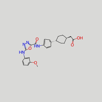 COc1cccc(Nc2nnc(C(=O)Nc3ccc([C@H]4CC[C@H](CC(=O)O)CC4)cc3)o2)c1